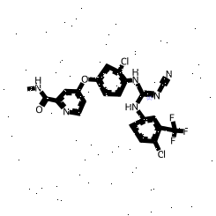 CNC(=O)c1cc(Oc2ccc(N/C(=N\C#N)Nc3ccc(Cl)c(C(F)(F)F)c3)c(Cl)c2)ccn1